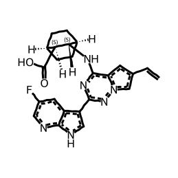 C=Cc1cc2c(N[C@H]3[C@H]4CC[C@H](CC4)[C@@H]3C(=O)O)nc(-c3c[nH]c4ncc(F)cc34)nn2c1